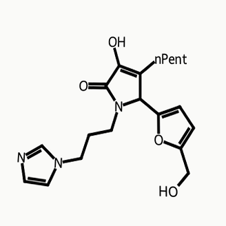 CCCCCC1=C(O)C(=O)N(CCCn2ccnc2)C1c1ccc(CO)o1